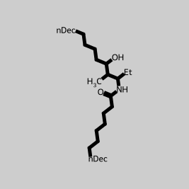 CCCCCCCCCCCCCCCCC(=O)NC(CC)C(C)C(O)CCCCCCCCCCCCCC